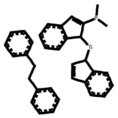 CP(C)C1=Cc2ccccc2[CH]1[Ti][CH]1C=Cc2ccccc21.c1ccc(CCc2ccccc2)cc1